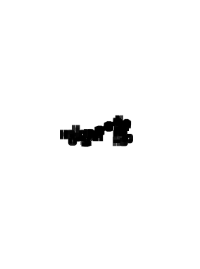 O=C(O)NCC(=O)N1CCCC1c1ncc(-c2ccc(-c3ccc(-c4cnc(C5CCCN5C(=O)CNC(=O)O)[nH]4)cc3)cc2)[nH]1